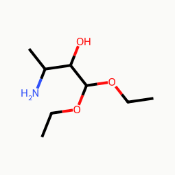 CCOC(OCC)C(O)C(C)N